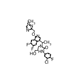 CC(c1cnc(OCc2ncn(C)n2)c2cc(F)c(F)cc12)N(CCCO)C(=O)Nc1ccc(F)c(Cl)c1